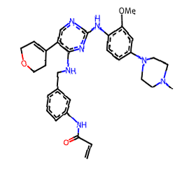 C=CC(=O)Nc1cccc(CNc2nc(Nc3ccc(N4CCN(C)CC4)cc3OC)ncc2C2=CCOCC2)c1